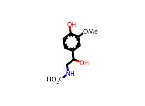 COc1cc(C(O)CNC(=O)O)ccc1O